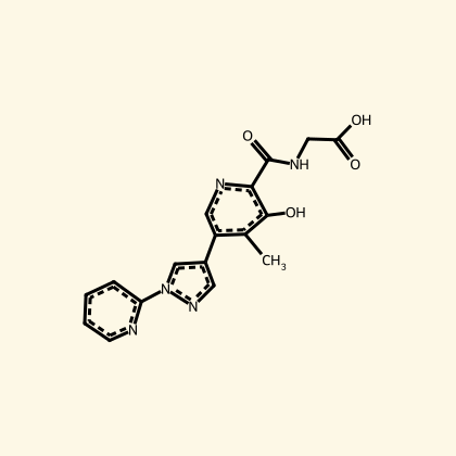 Cc1c(-c2cnn(-c3ccccn3)c2)cnc(C(=O)NCC(=O)O)c1O